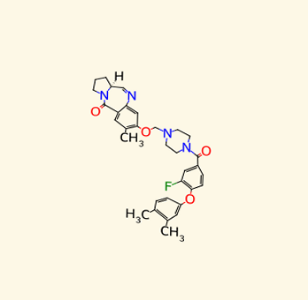 Cc1ccc(Oc2ccc(C(=O)N3CCN(COc4cc5c(cc4C)C(=O)N4CCC[C@H]4C=N5)CC3)cc2F)cc1C